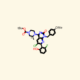 COc1ccc(Cn2c(=O)nc(N3CCN(C(=O)OC(C)(C)C)C[C@@H]3C)c3cc(Cl)c(-c4c(O)cccc4F)nc32)cc1